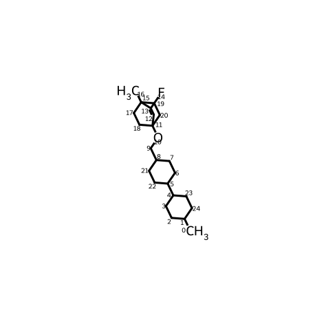 CC1CCC(C2CCC(COC34C=C(F)C(C)(CC3)CC4)CC2)CC1